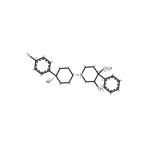 CC1CN([C@H]2CC[C@](C#N)(c3ccc(F)cc3)CC2)CCC1(C(=O)O)c1ccccc1